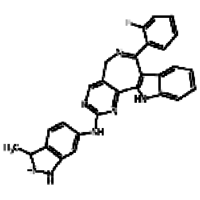 CC1NNc2cc(Nc3ncc4c(n3)-c3[nH]c5ccccc5c3C(c3ccccc3F)=NC4)ccc21